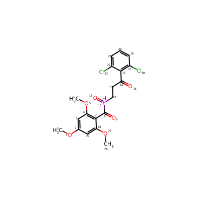 COc1cc(OC)c(C(=O)[PH](=O)CCC(=O)c2c(Cl)cccc2Cl)c(OC)c1